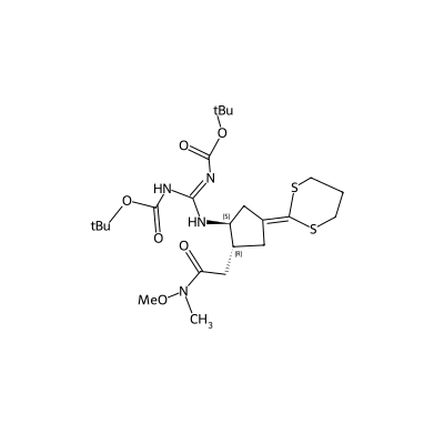 CON(C)C(=O)C[C@H]1CC(=C2SCCCS2)C[C@@H]1NC(=NC(=O)OC(C)(C)C)NC(=O)OC(C)(C)C